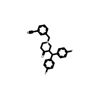 N#Cc1cccc(CN2CCC(=O)C(C(c3ccc(F)cc3)c3ccc(F)cc3)C2)c1